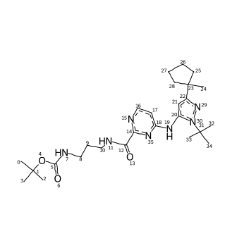 CC(C)(C)OC(=O)NCCCNC(=O)c1nccc(Nc2cc(C3(C)CCCC3)nn2C(C)(C)C)n1